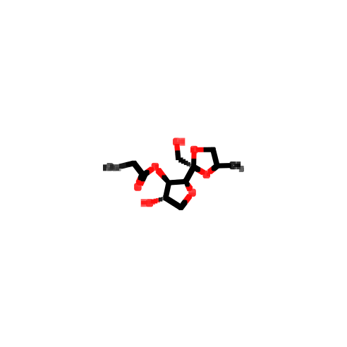 CCCCCCCCCCCC(=O)O[C@@H]1[C@@H](O)CO[C@@H]1[C@@]1(CO)OCC(C)O1